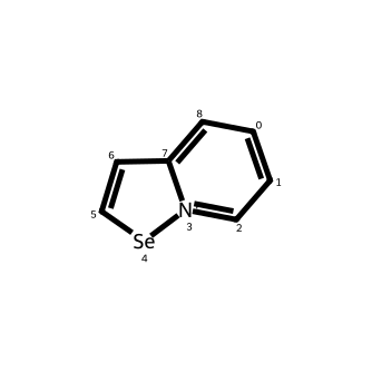 c1cc[n+]2[se]ccc2c1